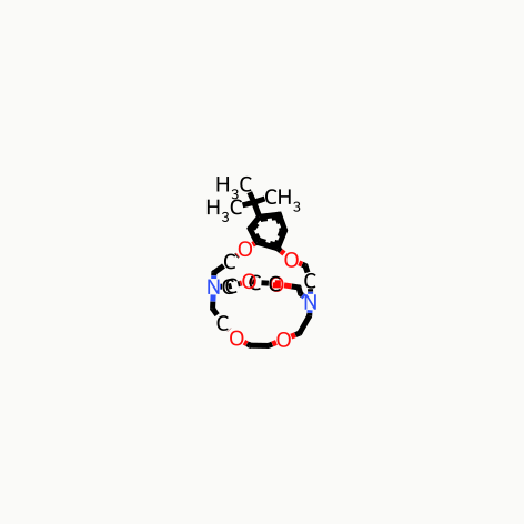 CC(C)(C)c1ccc2c(c1)OCCN1CCOCCOCCN(CCOCCOCC1)CCO2